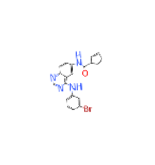 O=C(Nc1ccc2ncnc(Nc3cccc(Br)c3)c2c1)C1C=CCC1